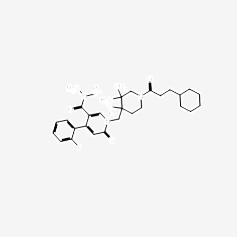 CN(C)C(=O)c1cn(CC2(O)CCN(C(=O)CCC3CCCCC3)CC2(C)C)c(=O)cc1-c1ccccc1F